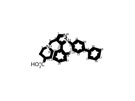 O=C(O)C1CCN(Cc2cnn(-c3ccc(-c4ccccc4)cc3)c2-c2ccccc2F)CC1